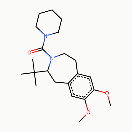 COc1cc2c(cc1OC)CC(C(C)(C)C)N(C(=O)N1CCCCC1)CC2